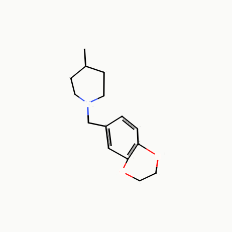 CC1CCN(Cc2ccc3c(c2)OCCO3)CC1